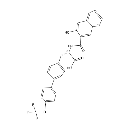 O=C(N[C@@H](Cc1ccc(-c2ccc(OC(F)(F)F)cc2)cc1)C(=O)O)c1cc2ccccc2cc1O